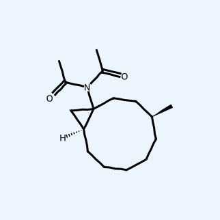 CC(=O)N(C(C)=O)C12CC[C@@H](C)CCCCC[C@H]1C2